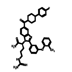 Cc1ccccc1Oc1cccc(-c2nc3cc(C(=O)C4CCC(c5ccc(F)cc5)CC4)ccc3n2[C@@H](CCCNC(=N)N)C(N)=O)c1